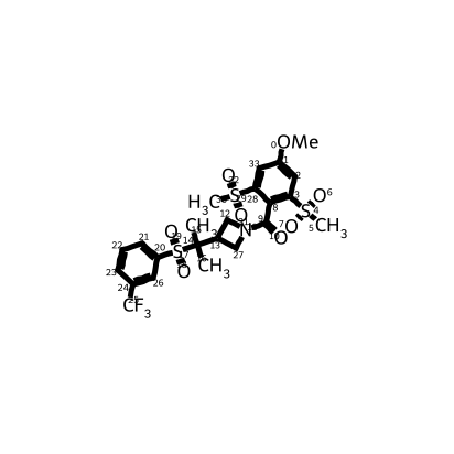 COc1cc(S(C)(=O)=O)c(C(=O)N2CC(C(C)(C)S(=O)(=O)c3cccc(C(F)(F)F)c3)C2)c(S(C)(=O)=O)c1